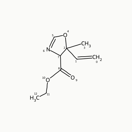 C=CC1(C)OC=NC1C(=O)OCC